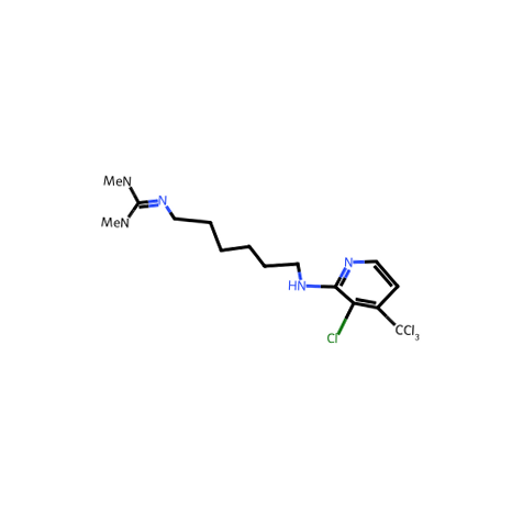 CNC(=NCCCCCCNc1nccc(C(Cl)(Cl)Cl)c1Cl)NC